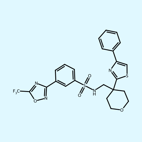 O=S(=O)(NCC1(c2nc(-c3ccccc3)cs2)CCOCC1)c1cccc(-c2noc(C(F)(F)F)n2)c1